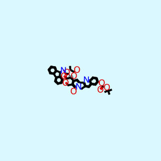 CC[C@@]1(OC(=O)C(C)ON=C2c3ccccc3-c3ccccc32)C(=O)OCc2c1cc1n(c2=O)Cc2cc3cc(OC(=O)OC(C)(C)C)ccc3nc2-1